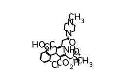 CN1CCN(C(=O)CC2=C(C(=O)O)C(c3c(Cl)cccc3Cl)C(C(=O)O)=C(C[S+](C)[O-])N2)CC1